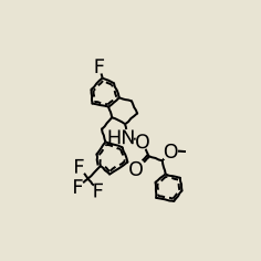 CO[C@H](C(=O)ONC1CCc2cc(F)ccc2C1Cc1cccc(C(F)(F)F)c1)c1ccccc1